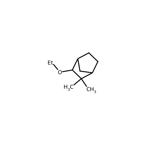 CCOC1C2CCC(C2)C1(C)C